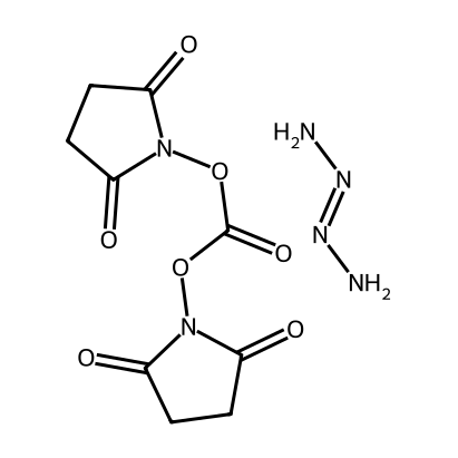 NN=NN.O=C(ON1C(=O)CCC1=O)ON1C(=O)CCC1=O